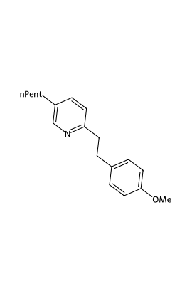 CCCCCc1ccc(CCc2ccc(OC)cc2)nc1